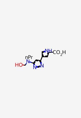 CCCN(CO)c1cc(-c2c[nH]c(C(=O)O)c2)ncn1